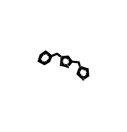 c1ccc(Cn2cc(Cn3ccnc3)nn2)cc1